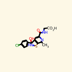 Cc1nc(C(=O)NCC(=O)O)cc2c1SNC2(O)c1ccc(Cl)cc1